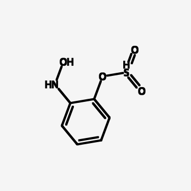 O=[SH](=O)Oc1ccccc1NO